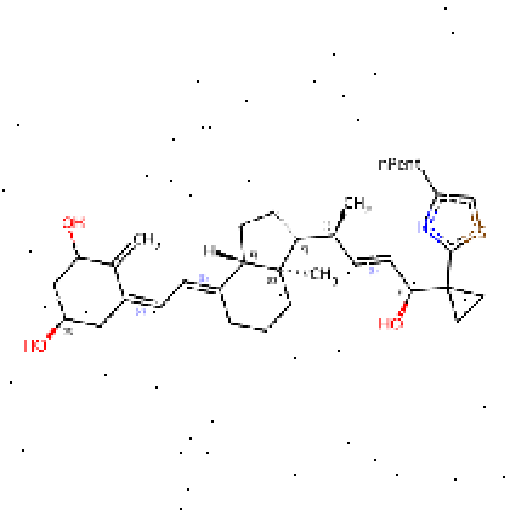 C=C1/C(=C\C=C2/CCC[C@]3(C)[C@@H]([C@@H](C)/C=C/[C@H](O)C4(c5nc(CCCCC)cs5)CC4)CC[C@@H]23)C[C@@H](O)CC1O